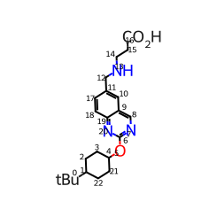 CC(C)(C)C1CCC(Oc2ncc3cc(CNCCC(=O)O)ccc3n2)CC1